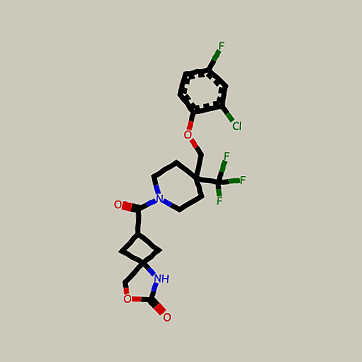 O=C1NC2(CO1)CC(C(=O)N1CCC(COc3ccc(F)cc3Cl)(C(F)(F)F)CC1)C2